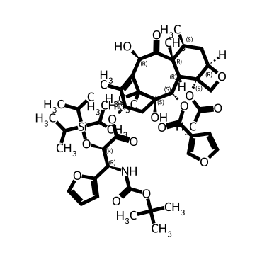 CC(=O)O[C@@]12CO[C@@H]1C[C@H](C)[C@@]1(C)C(=O)[C@H](O)C3=C(C)[C@@H](OC(=O)[C@H](O[Si](C(C)C)(C(C)C)C(C)C)[C@@H](NC(=O)OC(C)(C)C)c4ccco4)C[C@@](O)([C@@H](OC(=O)c4ccoc4)[C@H]21)C3(C)C